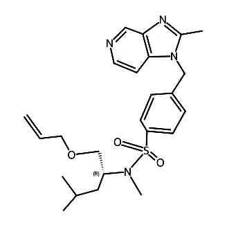 C=CCOC[C@@H](CC(C)C)N(C)S(=O)(=O)c1ccc(Cn2c(C)nc3cnccc32)cc1